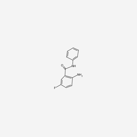 Nc1ccc(F)cc1C(=O)Nc1ccccc1